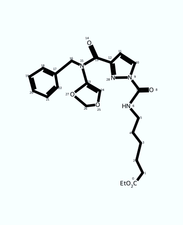 CCOC(=O)CCCCCNC(=O)n1ccc(C(=O)N(Cc2ccccc2)C2=COCO2)n1